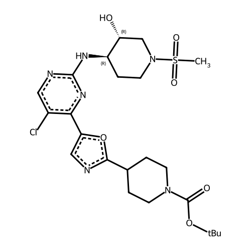 CC(C)(C)OC(=O)N1CCC(c2ncc(-c3nc(N[C@@H]4CCN(S(C)(=O)=O)C[C@H]4O)ncc3Cl)o2)CC1